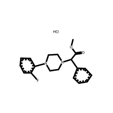 COC(=O)C(c1ccccc1)N1CCN(c2ccccc2F)CC1.Cl